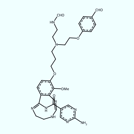 COc1c(OCCCN(CCNC=O)CCOc2ccc(C=O)cc2)ccc2c1/N=C\NCC/N=C/2NC(=O)c1cnc(N)nc1